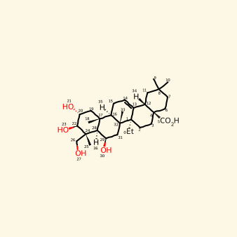 CC[C@@]12CC[C@@]3(C(=O)O)CCC(C)(C)C[C@H]3C1=CC[C@@H]1[C@@]3(C)C[C@@H](O)[C@H](O)[C@@](C)(CO)[C@@H]3[C@H](O)C[C@]12C